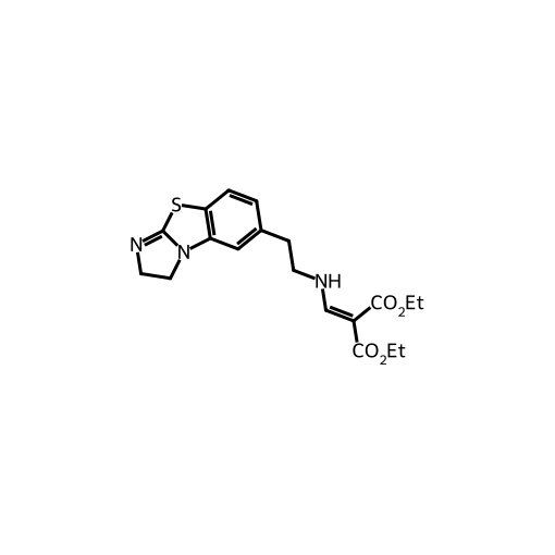 CCOC(=O)C(=CNCCc1ccc2c(c1)N1CCN=C1S2)C(=O)OCC